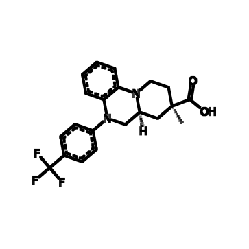 C[C@@]1(C(=O)O)CCN2c3ccccc3N(c3ccc(C(F)(F)F)cc3)C[C@@H]2C1